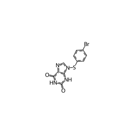 O=c1[nH]c(=O)c2ncn(Sc3ccc(Br)cc3)c2[nH]1